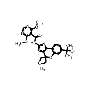 CCC1(CC)Oc2cc(C(C)(C)O)ccc2-c2nc(NC(=O)c3c(OC)ncnc3OC)sc21